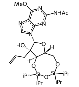 C=CC[C@]1(O)[C@@H]2O[Si](C(C)C)(C(C)C)O[Si](C(C)C)(C(C)C)OC[C@H]2O[C@H]1n1cnc2c(OC)nc(NC(C)=O)nc21